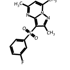 Cc1cc(C)n2nc(C)c(S(=O)(=O)c3cccc(F)c3)c2n1